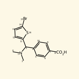 CN(C)C(c1ccc(C(=O)O)cc1)c1ccc(Br)s1